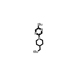 CC(C)(C)CC1CCN(c2cnc(C(C)(C)C)cn2)CC1